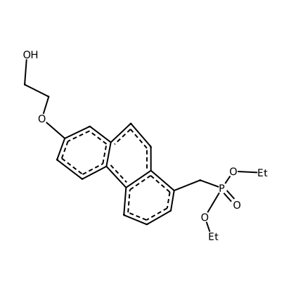 CCOP(=O)(Cc1cccc2c1ccc1cc(OCCO)ccc12)OCC